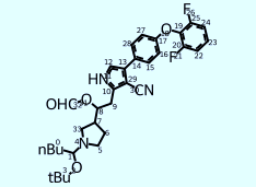 CCCCC(OC(C)(C)C)N1CCC(C(Cc2[nH]cc(-c3ccc(Oc4c(F)cccc4F)cc3)c2C#N)OC=O)C1